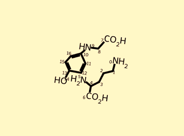 NCCCC(N)C(=O)O.O=C(O)CNc1ccc(O)cc1